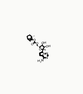 CC1(C)C2CC[C@@]1(C)[C@@H](OC(=O)OC[C@H]1O[C@@](C)(c3ccc4c(N)ncnn34)[C@H](O)[C@@H]1O)C2